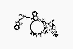 C=C[C@@H]1C[C@]1(NC(=O)[C@@H]1C[C@@H]2CN1C(=O)[C@H](C(C)(C)C)NC(=O)O[C@@H]1C[C@H]1CCCCCc1c(nc3ccccc3c1OCCCN(CC)CCc1nc3ccccc3[nH]1)O2)C(=O)NS(=O)(=O)C1(C)CC1